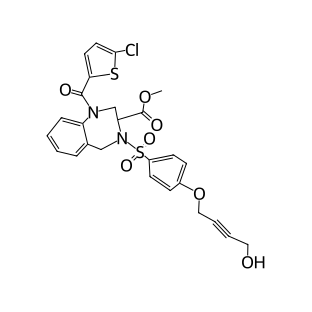 COC(=O)C1CN(C(=O)c2ccc(Cl)s2)c2ccccc2CN1S(=O)(=O)c1ccc(OCC#CCO)cc1